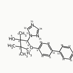 CC(C)(C)C(C)(O)C(Oc1ccc(-c2ccccc2)cc1)n1cncn1